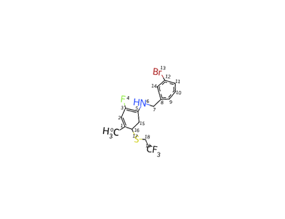 CC1=CC(F)=C(NCc2cccc(Br)c2)CC1SCC(F)(F)F